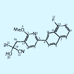 COc1nc(-c2ccc3cccc(F)c3c2)ccc1CC(O)(C#N)C(C)C